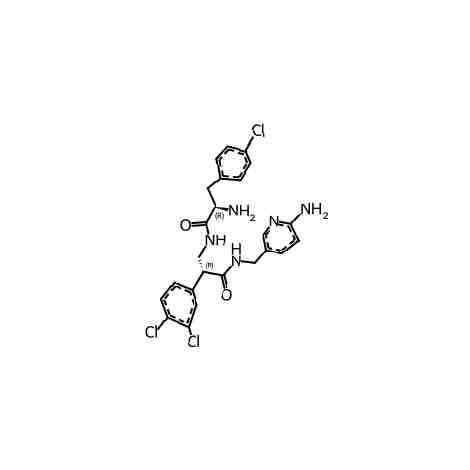 Nc1ccc(CNC(=O)[C@@H](CNC(=O)[C@H](N)Cc2ccc(Cl)cc2)c2ccc(Cl)c(Cl)c2)cn1